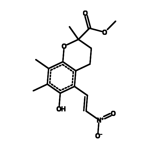 COC(=O)C1(C)CCc2c(/C=C/[N+](=O)[O-])c(O)c(C)c(C)c2O1